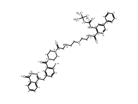 CC(C)(C)OC(=O)Nc1cc(-c2ccccc2)cnc1C(=O)NCCOCCNCC(=O)N1CCN(C(=O)c2cc(Cc3n[nH]c(=O)c4ccccc34)ccc2F)CC1